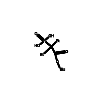 CCC(CC)(C(=O)OC(C)(C)C)P(=O)(O)O